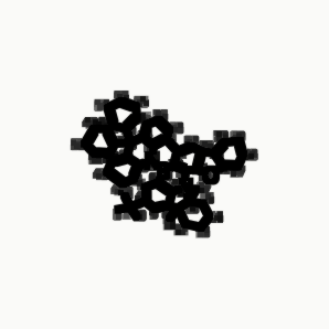 CC(C)(C)c1cc2c3c(c1)C1(C)CCCCC1(C)N3c1c3c(cc4c1oc1ccccc14)-c1cccc4c1N(B23)c1ccccc1C4(c1ccccc1)c1ccccc1